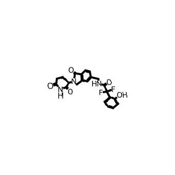 O=C1CCC(N2Cc3cc(CNC(=O)C(F)(F)c4ccccc4O)ccc3C2=O)C(=O)N1